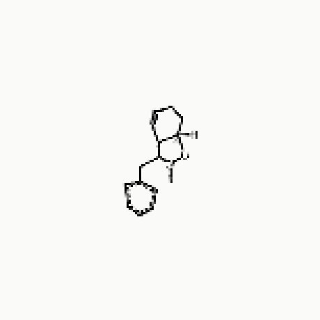 CN1O[C@H]2CCC=CC2C1Cc1ccccc1